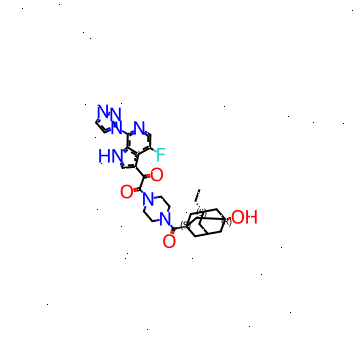 CC[C@@]12CC3C[C@@](O)(C1)C[C@](C(=O)N1CCN(C(=O)C(=O)c4c[nH]c5c(-n6ccnn6)ncc(F)c45)CC1)(C3)C2